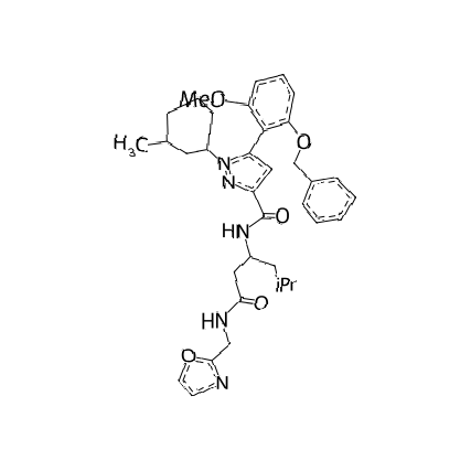 COc1cccc(OCc2ccccc2)c1-c1cc(C(=O)NC(CC(=O)NCc2ncco2)CC(C)C)nn1C1CCCC(C)C1